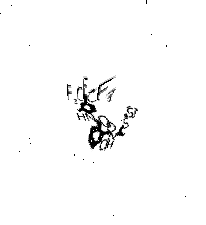 Cc1cc(C(F)(C(F)(F)F)C(F)(F)F)ccc1NC(=O)c1cccc(Cl)c1C(=O)NC(C)CSC[Si](C)(C)C